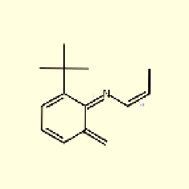 C=C1C=CC=C(C(C)(C)C)/C1=N/C=C\C